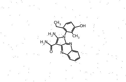 CCc1ccc(O)c(C)c1-n1c(N)c(C(N)=O)c2nc3ccccc3nc21